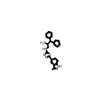 Cc1n[nH]c2ccc(-c3nnc(NCC(N)C(c4ccccc4)c4ccccc4)s3)cc12